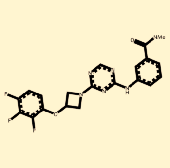 CNC(=O)c1cccc(Nc2ncnc(N3CC(Oc4ccc(F)c(F)c4F)C3)n2)c1